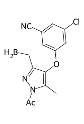 BCc1nn(C(C)=O)c(C)c1Oc1cc(Cl)cc(C#N)c1